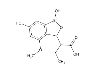 CCC(C(=O)O)C1OB(O)c2cc(O)cc(OC)c21